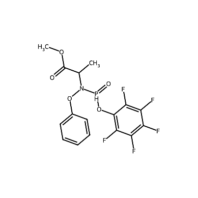 COC(=O)C(C)N(Oc1ccccc1)[PH](=O)Oc1c(F)c(F)c(F)c(F)c1F